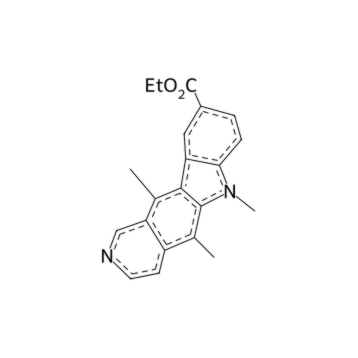 CCOC(=O)c1ccc2c(c1)c1c(C)c3cnccc3c(C)c1n2C